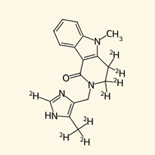 [2H]c1nc(CN2C(=O)c3c(n(C)c4ccccc34)C([2H])([2H])C2([2H])[2H])c(C([2H])([2H])[2H])[nH]1